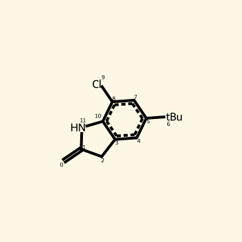 C=C1Cc2cc(C(C)(C)C)cc(Cl)c2N1